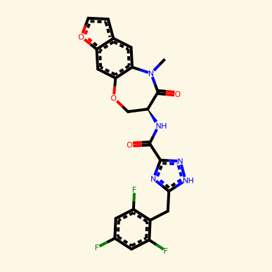 CN1C(=O)[C@@H](NC(=O)c2n[nH]c(Cc3c(F)cc(F)cc3F)n2)COc2cc3occc3cc21